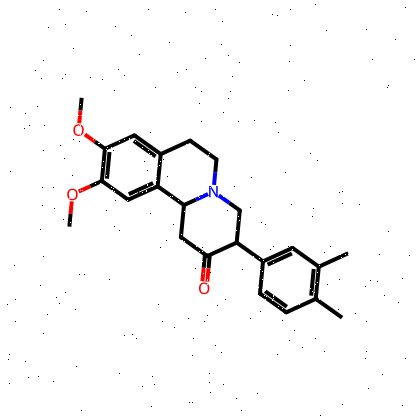 COc1cc2c(cc1OC)C1CC(=O)C(c3ccc(C)c(C)c3)CN1CC2